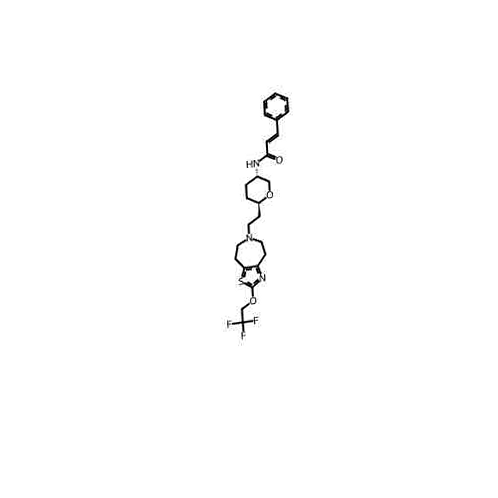 O=C(/C=C/c1ccccc1)N[C@H]1CC[C@H](CCN2CCc3nc(OCC(F)(F)F)sc3CC2)OC1